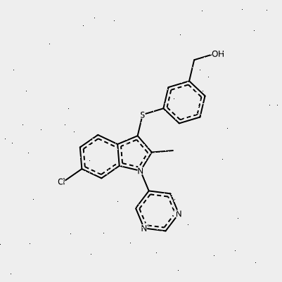 Cc1c(Sc2cccc(CO)c2)c2ccc(Cl)cc2n1-c1cncnc1